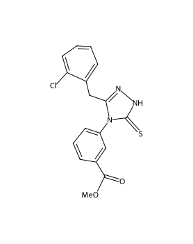 COC(=O)c1cccc(-n2c(Cc3ccccc3Cl)n[nH]c2=S)c1